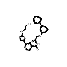 O=c1[nH]c(COc2cccc(-c3ccccc3)c2)nc2c(-c3csc(NCCO)n3)nccc12